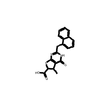 CC1c2c(nc(Cc3cccc4ccccc34)[nH]c2=O)SC1C(=O)O